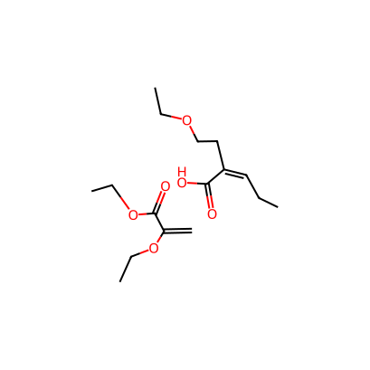 C=C(OCC)C(=O)OCC.CCC=C(CCOCC)C(=O)O